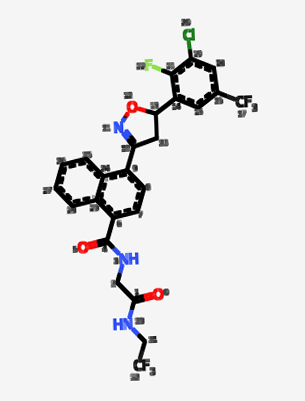 O=C(CNC(=O)c1ccc(C2=NOC(c3cc(C(F)(F)F)cc(Cl)c3F)C2)c2ccccc12)NCC(F)(F)F